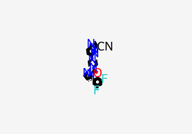 N#Cc1cnc2ccc(N3CCN(C(=O)N4N=CC[C@H]4c4cc(F)cc(F)c4)CC3)nn12